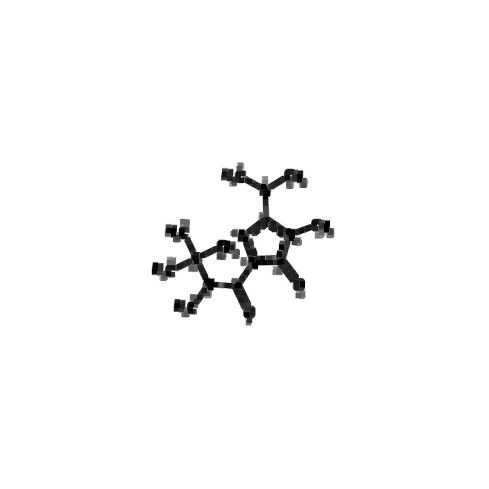 CN(C)c1nn(C(=O)N(C)[Si](C)(C)C)c(=O)n1C